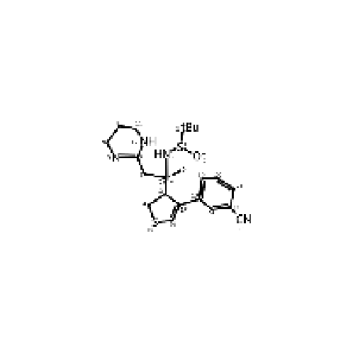 CC(C)(C)[S+]([O-])N[C@@](C)(CC1=NCCCN1)C1CSC=C1c1cccc(C#N)c1